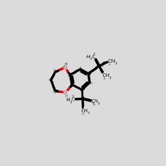 CC(C)(C)c1cc2c(c(C(C)(C)C)c1)OCCCO2